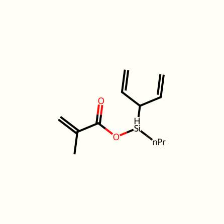 C=CC(C=C)[SiH](CCC)OC(=O)C(=C)C